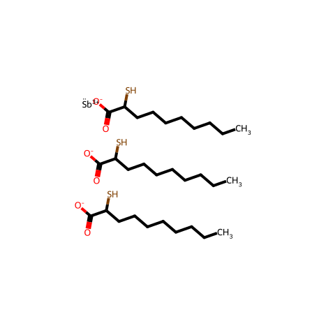 CCCCCCCCC(S)C(=O)[O-].CCCCCCCCC(S)C(=O)[O-].CCCCCCCCC(S)C(=O)[O-].[Sb+3]